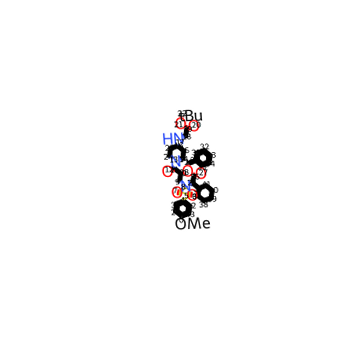 COc1ccc(S(=O)(=O)N(CCC(=O)N2CCC(NCC(=O)OC(C)(C)C)CC2)C(C(=O)OCc2ccccc2)C2CCCCC2)cc1